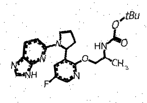 C[C@@H](COc1ncc(F)cc1C1CCCN1c1ccc2nc[nH]c2n1)NC(=O)OC(C)(C)C